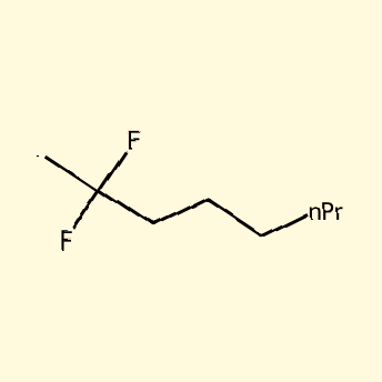 [CH2]C(F)(F)CCCCCC